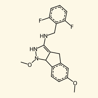 COc1ccc2c(c1)CC1=C(NCc3c(F)cccc3F)NN(OC)C12